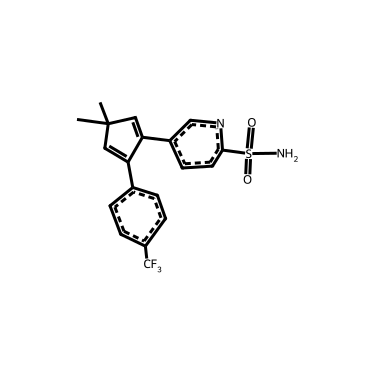 CC1(C)C=C(c2ccc(C(F)(F)F)cc2)C(c2ccc(S(N)(=O)=O)nc2)=C1